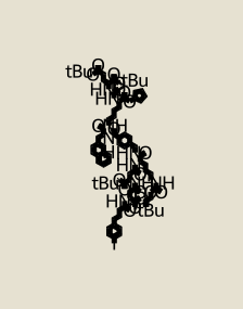 C=CCOC(=O)NCCCCC(NC(=O)CC(NC(=O)CC(NC(=O)CCCc1ccc(I)cc1)C(=O)OC(C)(C)C)C(=O)OC(C)(C)C)C(=O)NCC1CCC(C(=O)NC(Cc2ccc3ccccc3c2)C(=O)NCCCCC(NC(=O)NC(CCC(=O)OC(C)(C)C)C(=O)OC(C)(C)C)C(=O)OC2CCCC2)CC1